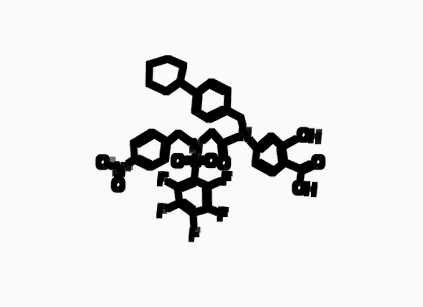 O=C(O)c1ccc(N(Cc2ccc(C3CCCCC3)cc2)C(=O)CN(Cc2ccc([N+](=O)[O-])cc2)S(=O)(=O)c2c(F)c(F)c(F)c(F)c2F)cc1O